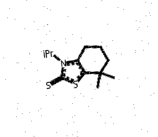 CC(C)n1c2c(sc1=S)C(C)(C)CCC2